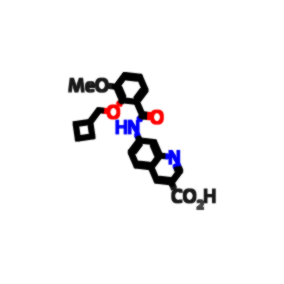 COc1cccc(C(=O)Nc2ccc3cc(C(=O)O)cnc3c2)c1OCC1CCC1